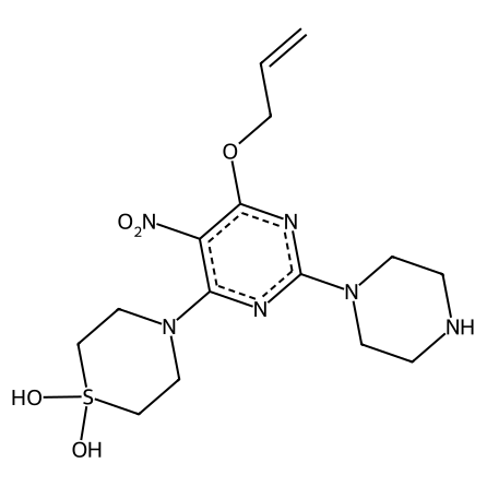 C=CCOc1nc(N2CCNCC2)nc(N2CCS(O)(O)CC2)c1[N+](=O)[O-]